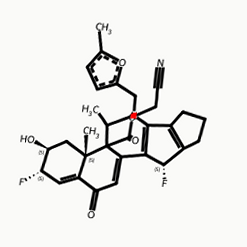 Cc1ccc(CN2C3=C(C4=CC(=O)C5=C[C@H](F)[C@@H](O)C[C@]5(C)C4(C(=O)OCC#N)C2C)[C@@H](F)C2=C3CCC2)o1